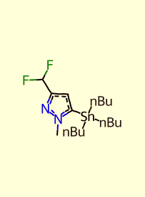 CCC[CH2][Sn]([CH2]CCC)([CH2]CCC)[c]1cc(C(F)F)nn1C